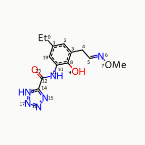 CCc1cc(CC=NOC)c(O)c(NC(=O)c2nnn[nH]2)c1